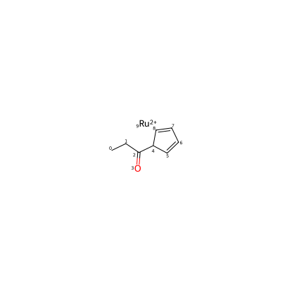 CCC(=O)C1C=CC=C1.[Ru+2]